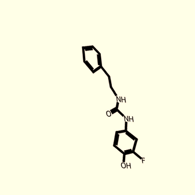 O=C(NCCc1ccccc1)Nc1ccc(O)c(F)c1